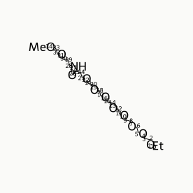 CCOCCOCCOCCOCCOCCOCCOCCOCCC(=O)NCCCOCCOC